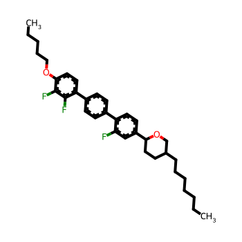 CCCCCCCC1CCC(c2ccc(-c3ccc(-c4ccc(OCCCCC)c(F)c4F)cc3)c(F)c2)OC1